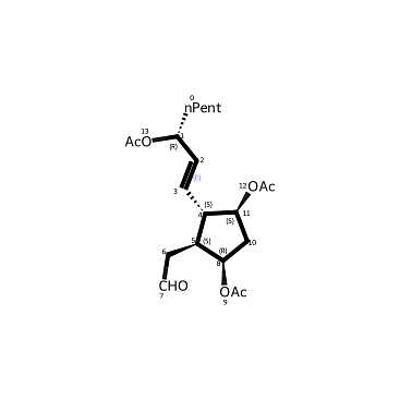 CCCCC[C@H](/C=C/[C@H]1[C@H](CC=O)[C@H](OC(C)=O)C[C@@H]1OC(C)=O)OC(C)=O